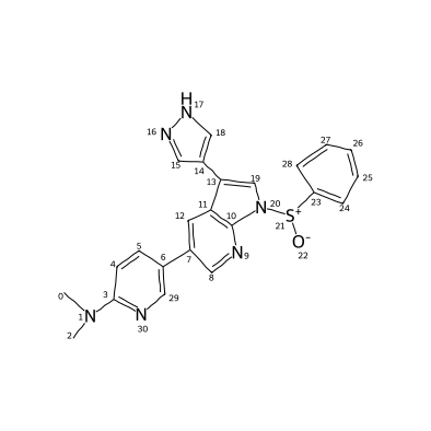 CN(C)c1ccc(-c2cnc3c(c2)c(-c2cn[nH]c2)cn3[S+]([O-])c2ccccc2)cn1